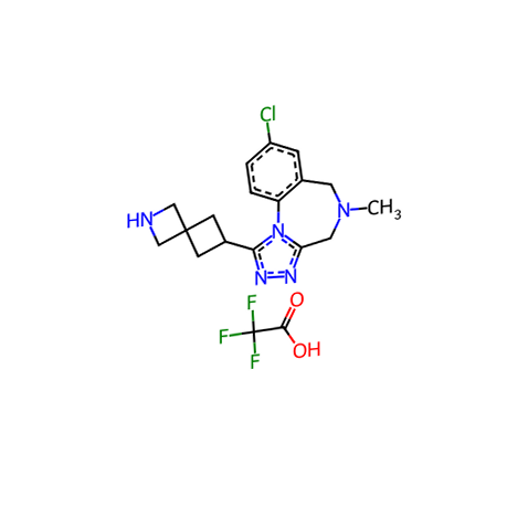 CN1Cc2cc(Cl)ccc2-n2c(nnc2C2CC3(CNC3)C2)C1.O=C(O)C(F)(F)F